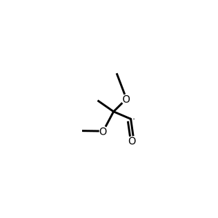 COC(C)([C]=O)OC